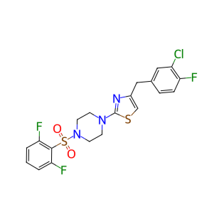 O=S(=O)(c1c(F)cccc1F)N1CCN(c2nc(Cc3ccc(F)c(Cl)c3)cs2)CC1